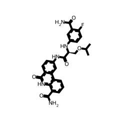 CC(C)OC[C@H](Nc1ccc(F)c(C(N)=O)c1)C(=O)Nc1ccc2c(=O)[nH]c3c(C(N)=O)cccc3c2c1